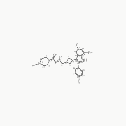 CN1CCN(C(=O)CNCC2CC(c3c(-c4ccc(F)cc4)[nH]c4c(F)cc(F)cc34)C2)CC1